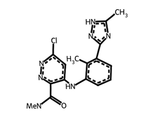 CNC(=O)c1nnc(Cl)cc1Nc1cccc(-c2n[nH]c(C)n2)c1C